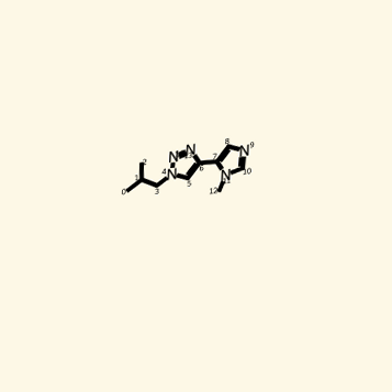 CC(C)Cn1cc(-c2cncn2C)nn1